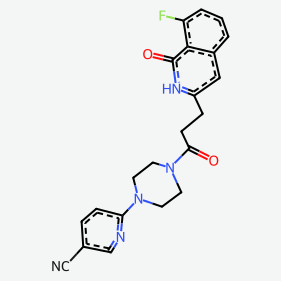 N#Cc1ccc(N2CCN(C(=O)CCc3cc4cccc(F)c4c(=O)[nH]3)CC2)nc1